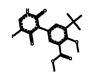 COC(=O)c1cc(-n2c(=O)[nH]cc(F)c2=O)cc(C(C)(C)C)c1OC